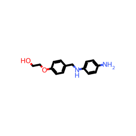 Nc1ccc(NCc2ccc(OCCO)cc2)cc1